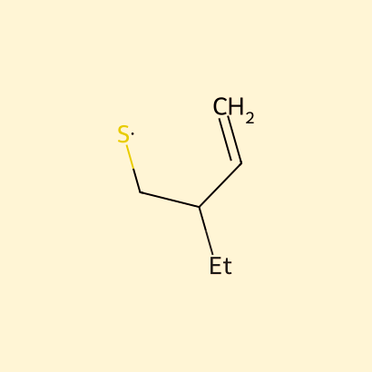 C=CC(CC)C[S]